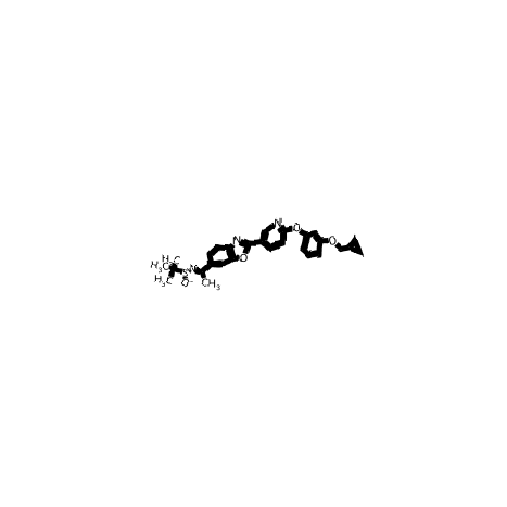 C/C(=N\[S+]([O-])C(C)(C)C)c1ccc2nc(-c3ccc(Oc4cccc(OCC5CC5)c4)nc3)oc2c1